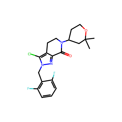 CC1(C)CC(N2CCc3c(nn(Cc4c(F)cccc4F)c3Cl)C2=O)CCO1